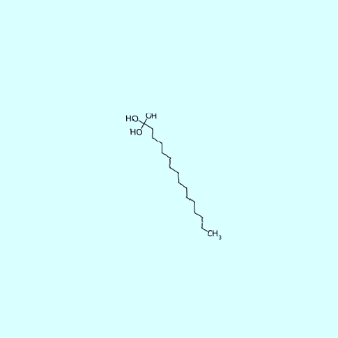 CCCCCCCCCCCCCCCC(O)(O)O